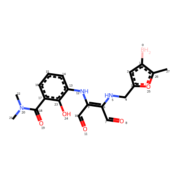 Bc1cc(CN/C(C=O)=C(/C=O)Nc2cccc(C(=O)N(C)C)c2O)oc1C